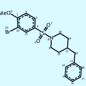 COc1ccc(S(=O)(=O)N2CCC(Cc3ccccc3)CC2)cc1Br